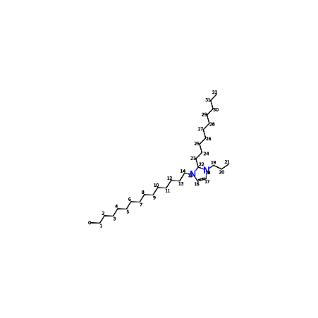 CCCCCCCCCCCCCCCN1C=CN(CCC)C1CCCCCCCCCC